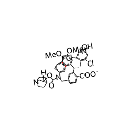 COc1ccc([C@H](Cc2c(Cl)c[n+](O)cc2Cl)c2cc(CN(C(=O)O[C@H]3CN4CCC3CC4)c3ccc(F)cc3)ccc2C(=O)[O-])cc1OC